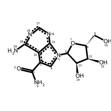 NC(=O)c1cn(C2O[C@H](CO)[C@@H](O)[C@H]2O)c2ncnc(N)c12